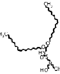 CCCCCCCC/C=C\CCCCCCCCOCC(CNC(=O)SCCN(CCO)CCO)OCCCCCCCC/C=C\CCCCCCCC